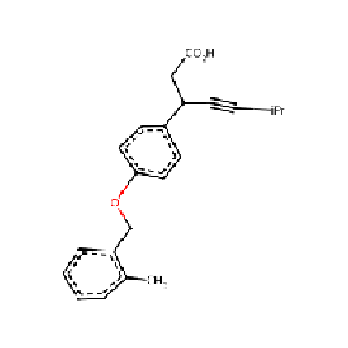 Cc1ccccc1COc1ccc(C(C#CC(C)C)CC(=O)O)cc1